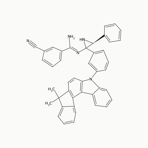 CC1(C)c2ccccc2-c2c1ccc1c2c2ccccc2n1-c1cccc(C2(/N=C(\N)c3cccc(C#N)c3)N[C@H]2c2ccccc2)c1